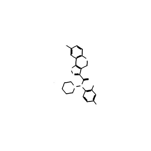 Cl.O=C(c1n[nH]c2c1CSc1ccc(Cl)cc1-2)N(c1ccc(Cl)cc1Cl)N1CCCCC1